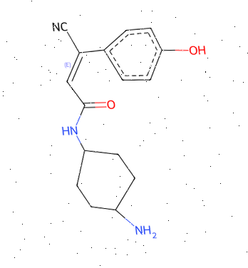 N#C/C(=C/C(=O)NC1CCC(N)CC1)c1ccc(O)cc1